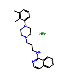 Br.Cc1cccc(N2CCN(CCCNc3nccc4ccccc34)CC2)c1C